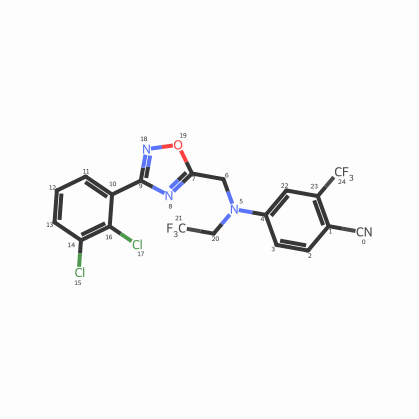 N#Cc1ccc(N(Cc2nc(-c3cccc(Cl)c3Cl)no2)CC(F)(F)F)cc1C(F)(F)F